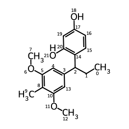 CCC(c1cc(OC)c(C)c(OC)c1)c1ccc(O)cc1O